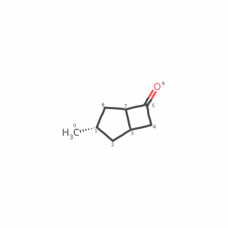 C[C@H]1CC2CC(=O)C2C1